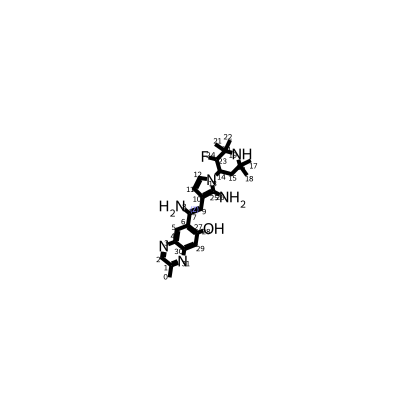 Cc1cnc2cc(/C(N)=C/c3ccn(C4CC(C)(C)NC(C)(C)C4F)c3N)c(O)cc2n1